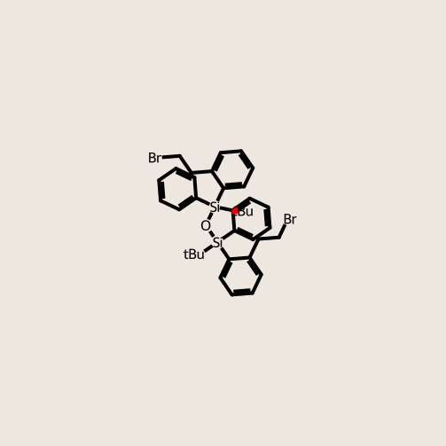 CC(C)(C)[Si](O[Si](c1ccccc1)(c1ccccc1CCBr)C(C)(C)C)(c1ccccc1)c1ccccc1CCBr